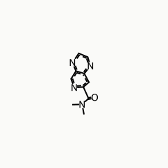 CN(C)C(=O)c1cc2nccnc2cn1